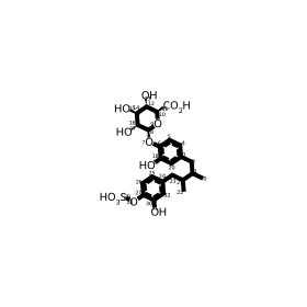 CC(Cc1ccc(O[C@@H]2O[C@H](C(=O)O)[C@@H](O)[C@H](O)[C@H]2O)c(O)c1)C(C)Cc1ccc(OS(=O)(=O)O)c(O)c1